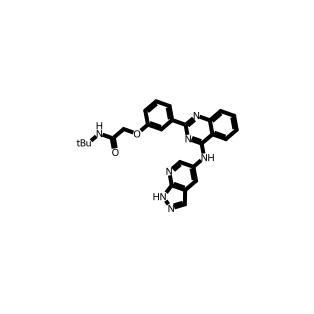 CC(C)(C)NC(=O)COc1cccc(-c2nc(Nc3cnc4[nH]ncc4c3)c3ccccc3n2)c1